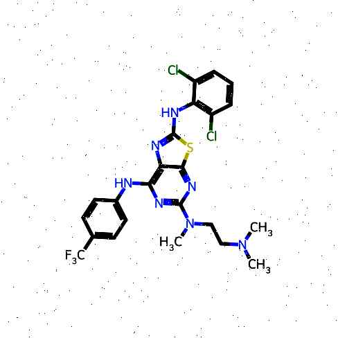 CN(C)CCN(C)c1nc(Nc2ccc(C(F)(F)F)cc2)c2nc(Nc3c(Cl)cccc3Cl)sc2n1